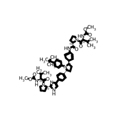 COC(=O)N[C@H](C(=O)N1CCC[C@H]1C(=O)NC1=CCC([C@H]2CC[C@H](c3ccc(-c4c[nH]c([C@@H]5CCCN5C(=O)[C@@H](NC(=O)OC)C(C)C)n4)cc3)N2c2ccc(C(C)(C)C)cc2)C=C1)C(C)C